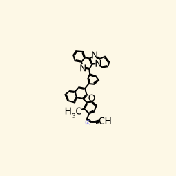 C#C/C=C\c1ccc2oc3c(-c4cccc(-c5nc6ccccc6c6nc7ccccn7c56)c4)cc4ccccc4c3c2c1C